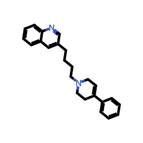 C1=C(c2ccccc2)CCN(CCCCc2cnc3ccccc3c2)C1